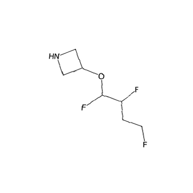 FCCC(F)C(F)OC1CNC1